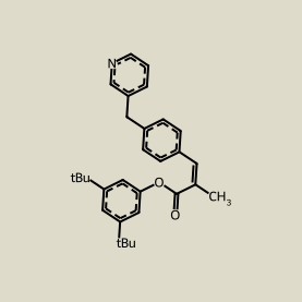 CC(=Cc1ccc(Cc2cccnc2)cc1)C(=O)Oc1cc(C(C)(C)C)cc(C(C)(C)C)c1